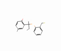 CCC(C)(Pc1ccccc1CS)c1cc(C)ccc1O